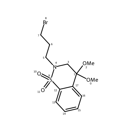 COC1(OC)CN(CCCBr)S(=O)(=O)c2ccccc21